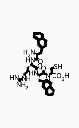 N=C(N)NCCC[C@H](NC(=O)[C@@H](N)Cc1ccc2ccccc2c1)C(=O)N[C@@H](Cc1ccc2ccccc2c1)C(=O)N[C@@H](CS)C(=O)O